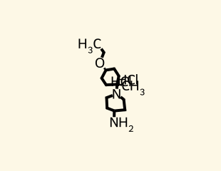 CCO[C@H]1CC[C@](C)(N2CCC(N)CC2)CC1.Cl.Cl